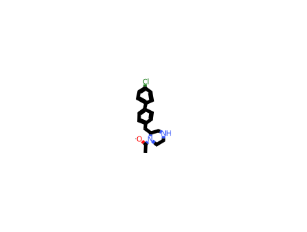 CC([O])N1CCNCC1Cc1ccc(-c2ccc(Cl)cc2)cc1